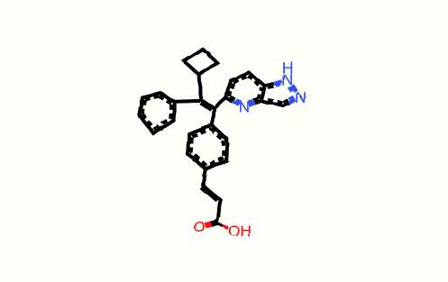 O=C(O)/C=C/c1ccc(/C(=C(\c2ccccc2)C2CCC2)c2ccc3[nH]ncc3n2)cc1